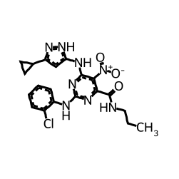 CCCNC(=O)c1nc(Nc2ccccc2Cl)nc(Nc2cc(C3CC3)n[nH]2)c1[N+](=O)[O-]